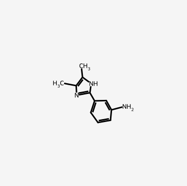 Cc1nc(-c2cccc(N)c2)[nH]c1C